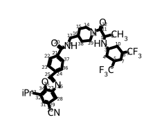 CC(NC1CC(C(F)(F)F)CC(C(F)(F)F)C1)C(=O)N1CCC(CNC(=O)c2ccc(-c3nc4cc(C#N)cc(C(C)C)c4o3)cc2)CC1